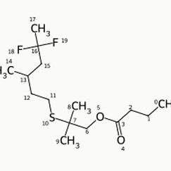 CCCC(=O)OCC(C)(C)SCCC(C)CC(C)(F)F